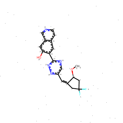 CO[C@H]1CC(F)(F)C/C1=C/c1cnc(-c2cc3ccncc3cc2O)nn1